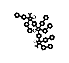 CC(C)C1=C(c2ccc(-c3ccccc3)cc2)C(c2cccc(-c3ccccc3)c2)=C(c2ccc(C3=C(c4ccc(-c5ccccc5)cc4)C(c4cccc(-c5ccccc5)c4)=C(c4ccc(C5=C(c6ccc(-c7ccccc7)cc6)C(c6cccc(-c7ccccc7)c6)=C(C(C)C)C5=O)cc4)C3=O)cc2)C1=O